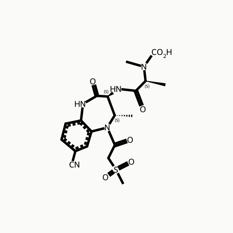 C[C@@H](C(=O)N[C@@H]1C(=O)Nc2ccc(C#N)cc2N(C(=O)CS(C)(=O)=O)[C@H]1C)N(C)C(=O)O